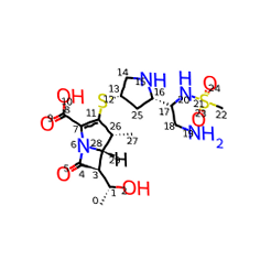 C[C@@H](O)[C@H]1C(=O)N2C(C(=O)O)=C(S[C@@H]3CN[C@H](C(CN)NS(C)(=O)=O)C3)[C@H](C)[C@H]12